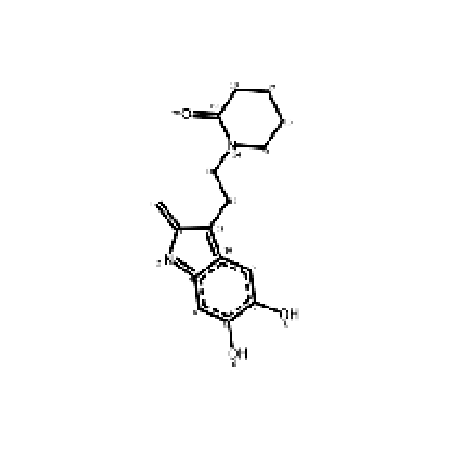 C=C1N=c2cc(O)c(O)cc2=C1CCN1CCCCC1=O